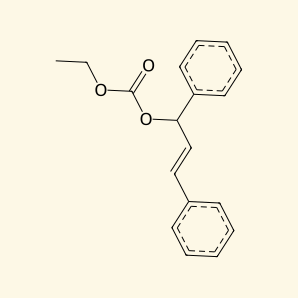 CCOC(=O)OC(C=Cc1ccccc1)c1ccccc1